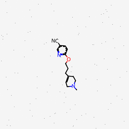 CN1CC=C(CCCOc2ccc(C#N)cn2)CC1